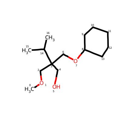 COCC(CO)(COC1CCCCC1)C(C)C